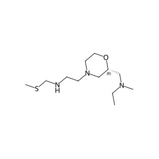 CCN(C)C[C@@H]1CN(CCNCSC)CCO1